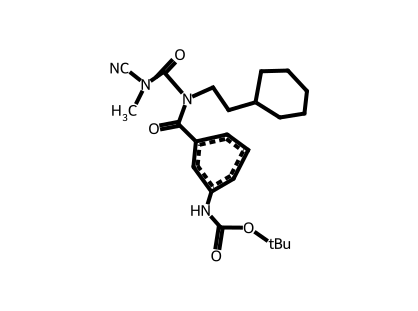 CN(C#N)C(=O)N(CCC1CCCCC1)C(=O)c1cccc(NC(=O)OC(C)(C)C)c1